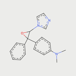 CN(C)c1ccc(C2(c3ccccc3)OC2n2ccnc2)cc1